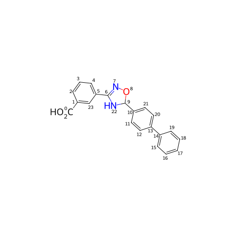 O=C(O)c1cccc(C2=NOC(c3ccc(-c4ccccc4)cc3)N2)c1